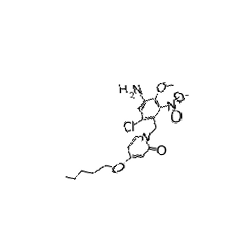 CCCCCOc1ccn(Cc2c(Cl)cc(N)c(OC)c2[N+](=O)[O-])c(=O)c1